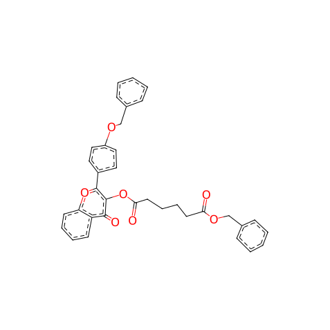 O=C(CCCCC(=O)Oc1c(-c2ccc(OCc3ccccc3)cc2)oc2ccccc2c1=O)OCc1ccccc1